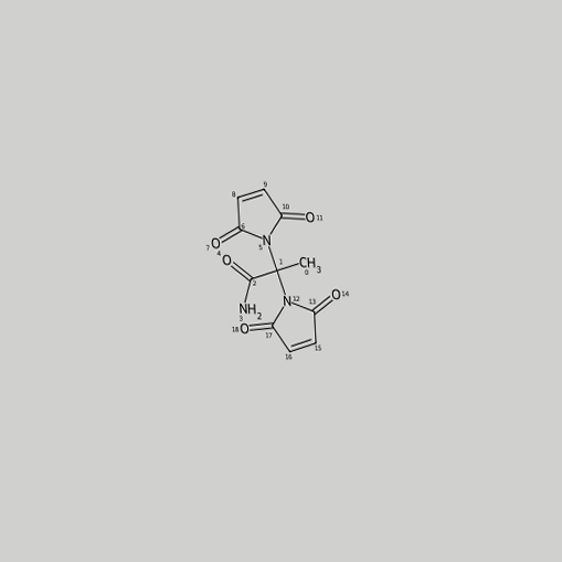 CC(C(N)=O)(N1C(=O)C=CC1=O)N1C(=O)C=CC1=O